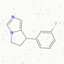 Fc1cccc(C2CCn3cncc32)c1